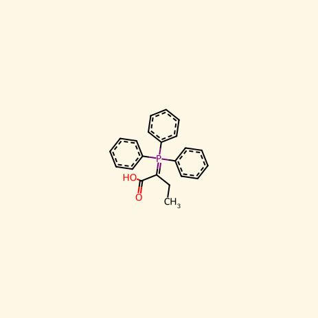 CCC(C(=O)O)=P(c1ccccc1)(c1ccccc1)c1ccccc1